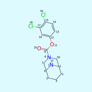 CN1C2CCCC1CN(C(=O)Oc1ccc(Cl)c(Cl)c1)C2